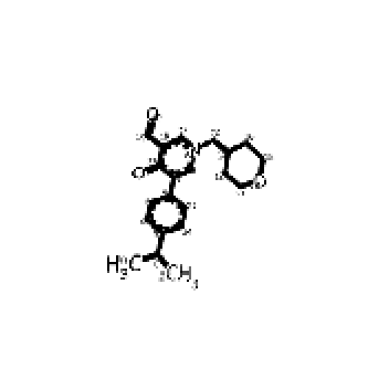 CC(C)c1ccc(-c2cn(CC3CCOCC3)cc(C=O)c2=O)cc1